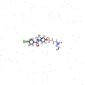 C=CCN(C)CCCCOc1ccc2c(c1)CCN2C(=O)c1ccc(Br)cc1